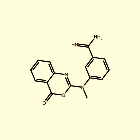 CN(c1cccc(C(=N)N)c1)c1nc2ccccc2c(=O)o1